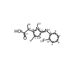 Cc1sc(=Nc2ccccc2F)n(C)c1C(C)C(=O)O